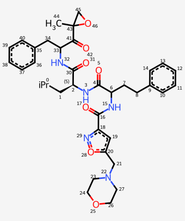 CC(C)C[C@H](NC(=O)C(CCc1ccccc1)NC(=O)c1cc(CN2CCOCC2)on1)C(=O)NC(Cc1ccccc1)C(=O)C1(C)CO1